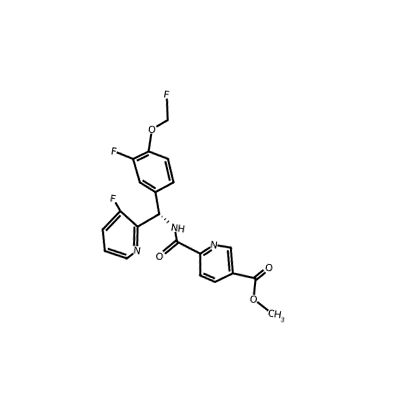 COC(=O)c1ccc(C(=O)N[C@@H](c2ccc(OCF)c(F)c2)c2ncccc2F)nc1